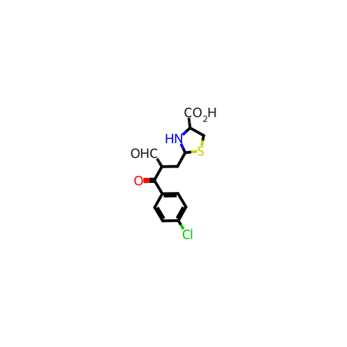 O=CC(CC1NC(C(=O)O)CS1)C(=O)c1ccc(Cl)cc1